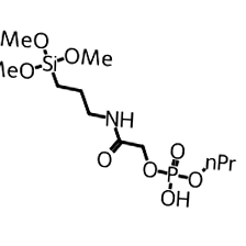 CCCOP(=O)(O)OCC(=O)NCCC[Si](OC)(OC)OC